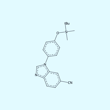 CC(C)(C)[Si](C)(C)Oc1ccc(-n2cnc3ccc(C#N)cc32)cc1